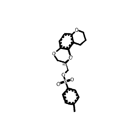 Cc1ccc(S(=O)(=O)OC[C@H]2COc3ccc4c(c3O2)CCCO4)cc1